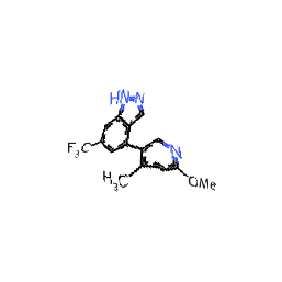 COc1cc(C)c(-c2cc(C(F)(F)F)cc3[nH]ncc23)cn1